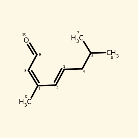 CC(C=CCC(C)C)=CC=O